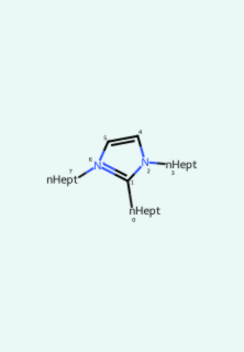 CCCCCCCc1n(CCCCCCC)cc[n+]1CCCCCCC